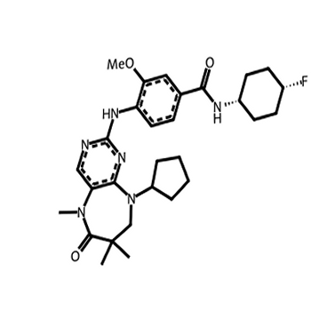 COc1cc(C(=O)N[C@H]2CC[C@@H](F)CC2)ccc1Nc1ncc2c(n1)N(C1CCCC1)CC(C)(C)C(=O)N2C